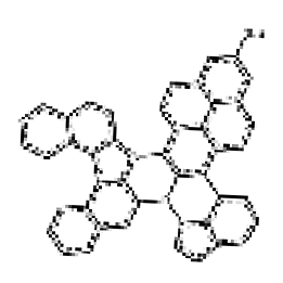 CC(C)(C)c1cc2ccc3c4c5c(c6ccc(c1)c2c36)-n1c2ccc3ccccc3c2c2c3ccccc3cc(c21)B5n1ccc2cccc-4c21